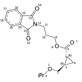 CC(C)OC[C@@H]1C[C@H]1C(=O)OCCCN1C(=O)c2ccccc2C1=O